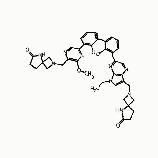 CCn1cc(CN2CC3(CCC(=O)N3)C2)c2ncc(-c3cccc(-c4cccc(-c5cnc(CN6CC7(CCC(=O)N7)C6)c(OC)n5)c4Cl)c3Cl)nc21